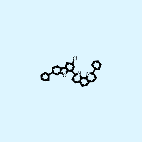 Clc1cc(-c2ccc3ccc4ccc(-c5ccccc5)nc4c3n2)c2oc3cc(-c4ccccc4)ccc3c2c1